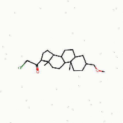 COCC1CCC2(C)C(CCC3C2CCC2(C)C(C(=O)CCl)CCC32)C1